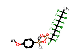 CCOc1ccc(S(CC)(CC)OS(=O)(=O)C(F)(F)C(F)(F)C(F)(F)C(F)(F)C(F)(F)C(F)(F)C(F)(F)C(F)(F)F)cc1